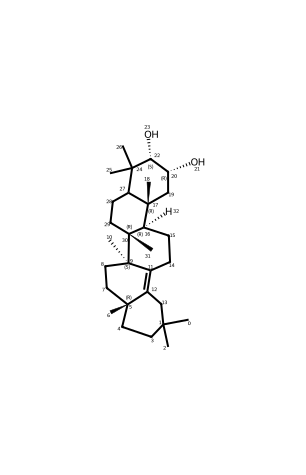 CC1(C)CC[C@]2(C)CC[C@]3(C)C(=C2C1)CC[C@@H]1[C@@]2(C)C[C@@H](O)[C@@H](O)C(C)(C)C2CC[C@]13C